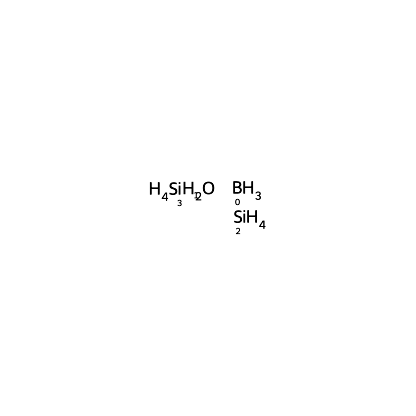 B.O.[SiH4].[SiH4]